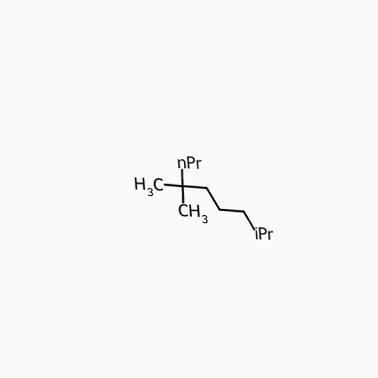 CCCC(C)(C)CCCC(C)C